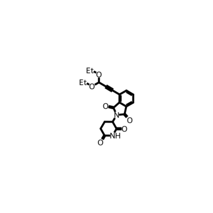 CCOC(C#Cc1cccc2c1C(=O)N(C1CCC(=O)NC1=O)C2=O)OCC